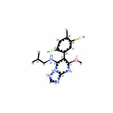 COc1nc2ncnn2c(NCC(C)C)c1-c1cc(F)c(C)cc1F